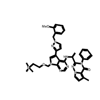 COc1ccccc1Cn1ccc(-c2cn(COCC[Si](C)(C)C)c3ncnc(NC(C)c4nn5ccc(C)c5c(=O)n4-c4ccccc4)c23)n1